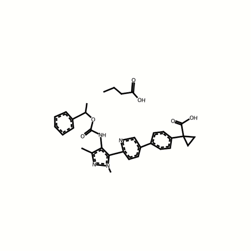 CCCC(=O)O.Cc1nn(C)c(-c2ccc(-c3ccc(C4(C(=O)O)CC4)cc3)cn2)c1NC(=O)OC(C)c1ccccc1